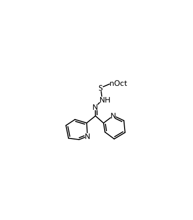 CCCCCCCCSNN=C(c1ccccn1)c1ccccn1